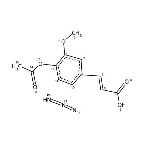 COc1cc(C=CC(=O)O)ccc1OC(C)=O.[N-]=[N+]=N